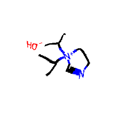 CC(C)[N+]1(C(C)C)C=NCC1.[OH-]